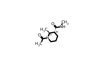 CNC(=O)[C@@H]1CCCN(C(C)=O)[C@H]1C